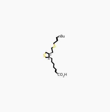 CCCCC=CCSCC[C@@H]1CSC[C@@H]1CCCCC=CC(=O)O